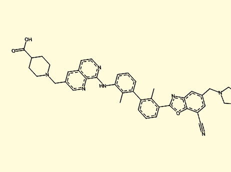 Cc1c(Nc2nccc3cc(CN4CCC(C(=O)O)CC4)cnc23)cccc1-c1cccc(-c2nc3cc(CN4CCCC4)cc(C#N)c3o2)c1C